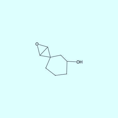 OC1CCCC2(C1)C1OC12